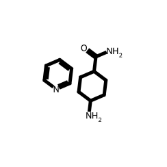 NC(=O)C1CCC(N)CC1.c1ccncc1